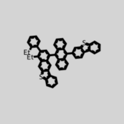 CCc1ccccc1-c1cc(-c2c3ccccc3c(-c3ccc4c(c3)sc3ccccc34)c3ccccc23)c2cc3c(cc2c1CC)sc1ccccc13